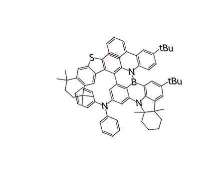 CC(C)(C)c1ccc(N2B3c4cc(C(C)(C)C)cc5c4N(c4cc(N(c6ccccc6)c6ccccc6)cc(c43)-c3c2ccc2sc4cc6c(cc4c32)C(C)(C)CCC6(C)C)C2(C)CCCCC52C)c(-c2ccccc2)c1